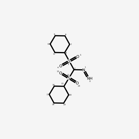 N=NC(S(=O)(=O)C1CCCCC1)S(=O)(=O)C1CCCCC1